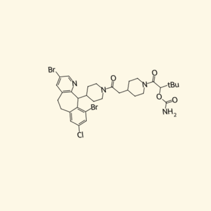 CC(C)(C)C(OC(N)=O)C(=O)N1CCC(CC(=O)N2CCC(C3c4ncc(Br)cc4CCc4cc(Cl)cc(Br)c43)CC2)CC1